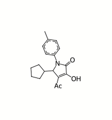 CC(=O)C1=C(O)C(=O)N(c2ccc(C)cc2)C1C1CCCC1